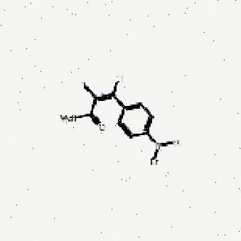 CCN(CC)c1ccc(/C(Cl)=C(/I)C(=O)NC)cc1